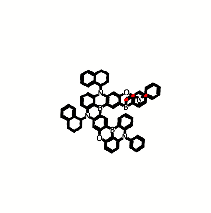 c1ccc(N2c3ccccc3B3c4cc5c(cc4Oc4cccc2c43)N(C2CCCc3ccccc32)c2cccc3c2B5c2cc4c(cc2N3C2CCCc3ccccc32)Oc2cccc3c2B4c2ccccc2N3c2ccccc2)cc1